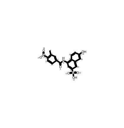 Cc1cc(C(=O)Nc2cc(S(=O)(=O)O)cc3cc(O)ccc23)ccc1[N+](=O)[O-]